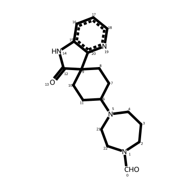 O=CN1CCCN(C2CCC3(CC2)C(=O)Nc2cccnc23)CC1